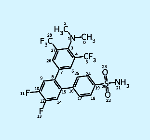 CN(C)c1c(C(F)(F)F)cc(-c2cc(F)c(F)cc2-c2ccc(S(N)(=O)=O)cc2)cc1C(F)(F)F